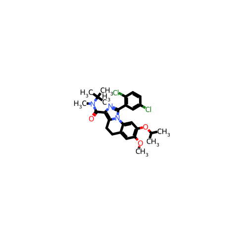 COc1cc2c(cc1OC(C)C)-n1c(-c3cc(Cl)ccc3Cl)nc(C(=O)N(C)C(C)(C)C)c1CC2